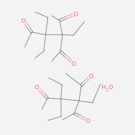 CCC(CC)(C(C)=O)C(CC)(C(C)=O)C(C)=O.CCC(CC)(C(C)=O)C(CC)(C(C)=O)C(C)=O.O